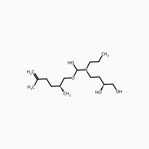 C=C(C)CC[C@H](C)COC(O)N(CCC)CC[C@H](O)CO